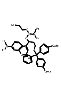 CCN(CC)c1ccc2c(C(CCOC(c3ccccc3)(c3ccc(OC)cc3)c3ccc(OC)cc3)OP(OCCC#N)N(C(C)C)C(C)C)cc(=O)oc2c1